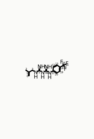 C=C(C)CNC(=N)NC(=N)Nc1ccc(C(F)(F)F)cc1